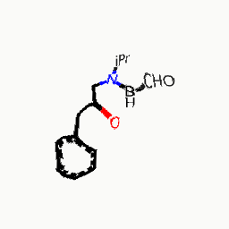 CC(C)N(BC=O)CC(=O)Cc1ccccc1